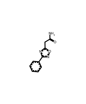 NC(=O)Cc1nc(-c2ccccc2)no1